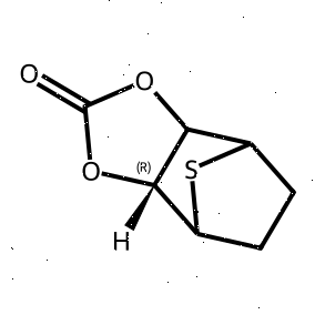 O=C1OC2C3CCC(S3)[C@@H]2O1